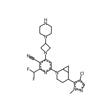 Cn1ncc(Cl)c1C1CCN(c2cc(N3CC(N4CCNCC4)C3)c(C#N)c(C(F)F)n2)C2CC12